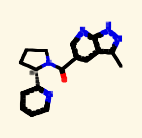 Cc1n[nH]c2ncc(C(=O)N3CCC[C@H]3c3ccccn3)cc12